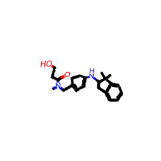 CN(Cc1ccc(NC2Cc3ccccc3C2(C)C)cc1)C(=O)CCO